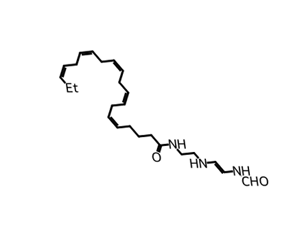 CC/C=C\C/C=C\C/C=C\C/C=C\C/C=C\CCCC(=O)NCCN/C=C/NC=O